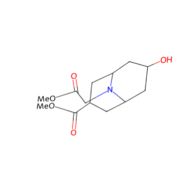 COC(=O)CN1C2CC(O)CC1CC(C(=O)OC)C2